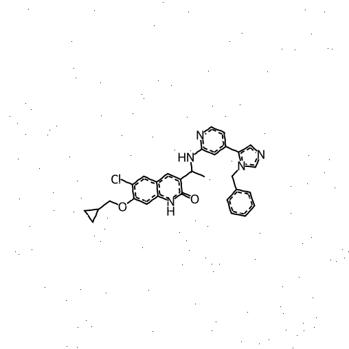 CC(Nc1cc(-c2cncn2Cc2ccccc2)ccn1)c1cc2cc(Cl)c(OCC3CC3)cc2[nH]c1=O